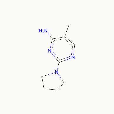 Cc1cnc(N2CCCC2)nc1N